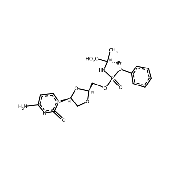 CC(C)[C@](C)(NP(=O)(OC[C@H]1OC[C@@H](n2ccc(N)nc2=O)O1)Oc1ccccc1)C(=O)O